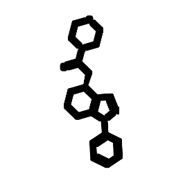 O=C(C[C@@H]1CCCc2c1cnn2-c1ccccc1)N1CCOCC1